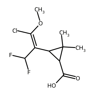 CO/C(Cl)=C(/C(F)F)C1C(C(=O)O)C1(C)C